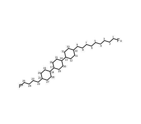 FCCCCCCCCCC1CCC(C2CCC(C3CCC(CCCCF)CC3)CC2)CC1